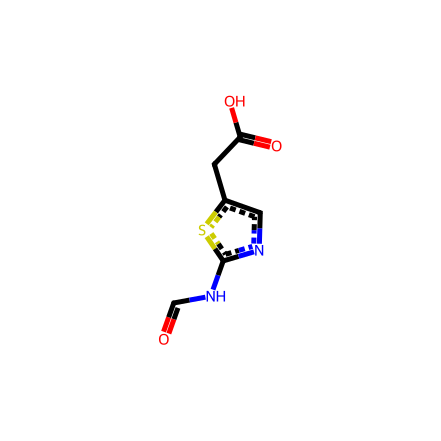 O=CNc1ncc(CC(=O)O)s1